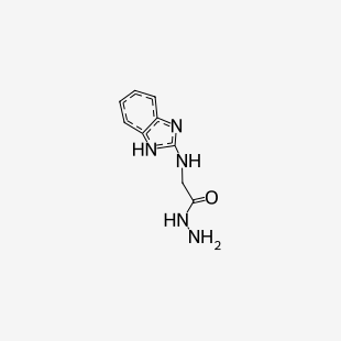 NNC(=O)CNc1nc2ccccc2[nH]1